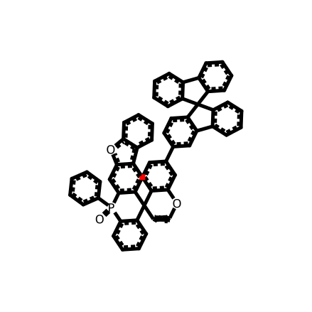 O=P1(c2ccccc2)c2ccccc2C2(c3ccccc3Oc3cc(-c4ccc5c(c4)-c4ccccc4C54c5ccccc5-c5ccccc54)ccc32)c2cc3c(cc21)oc1ccccc13